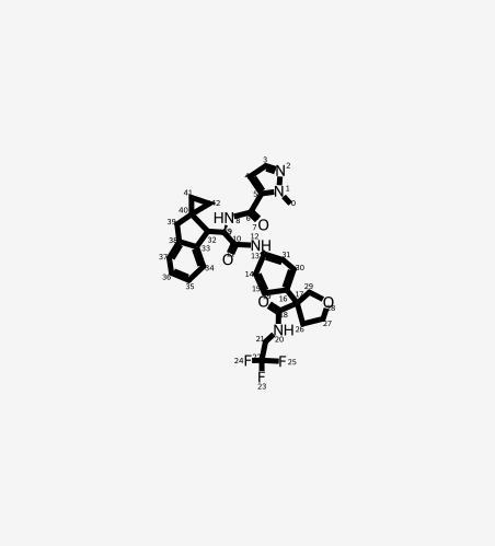 Cn1nccc1C(=O)N[C@H](C(=O)Nc1ccc(C2(C(=O)NCC(F)(F)F)CCOC2)cc1)C1c2ccccc2CC12CC2